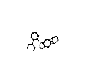 CCC(CC)c1ccccc1-n1ncc2cc3c(cc21)C1CCC3C1